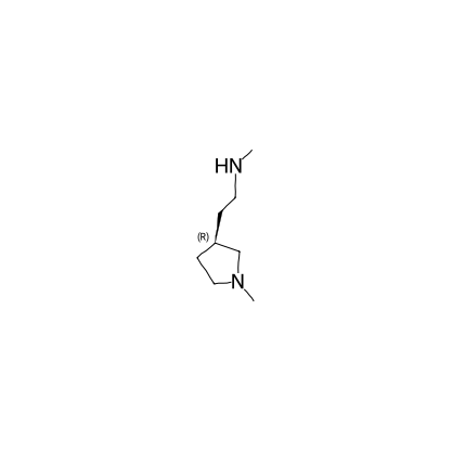 CNCC[C@@H]1CCN(C)C1